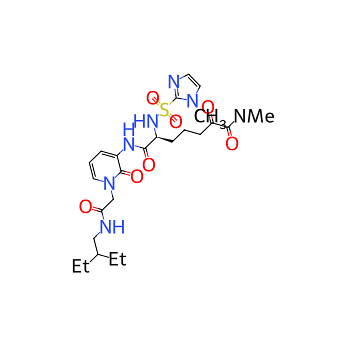 CCC(CC)CNC(=O)Cn1cccc(NC(=O)[C@H](CCCC(=O)C(=O)NC)NS(=O)(=O)c2nccn2C)c1=O